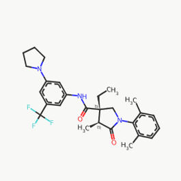 CC[C@@]1(C(=O)Nc2cc(N3CCCC3)cc(C(F)(F)F)c2)CN(c2c(C)cccc2C)C(=O)[C@H]1C